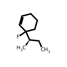 CC[C@@H](C)C1(F)C=CCCC1